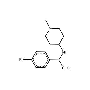 CN1CCC(NC(C=O)c2ccc(Br)cc2)CC1